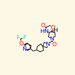 O=C1CO[C@H]2CCN(C(=O)N3CC4(CCC(Cc5ccc(OC(F)F)nc5)CC4)C3)CC2N1